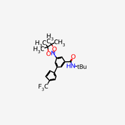 CC(C)(C)NC(=O)c1cc(-c2ccc(C(F)(F)F)cc2)cc(N2OC(C)(C)C(C)(C)O2)c1